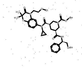 CCOCCN1C(=O)C(C)(C)Oc2ccc(N(C(=O)[C@@H]3C[C@H](C(=O)N[C@@H](COC)c4ccccc4)CN(C(=O)OC(C)(C)C)C3)C3CC3)cc21